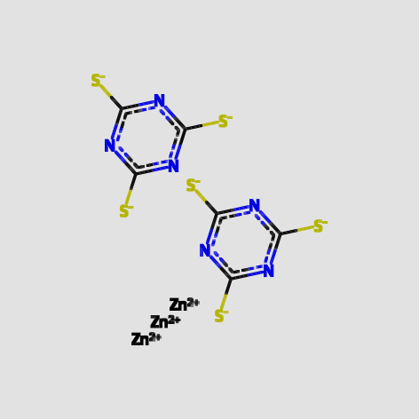 [S-]c1nc([S-])nc([S-])n1.[S-]c1nc([S-])nc([S-])n1.[Zn+2].[Zn+2].[Zn+2]